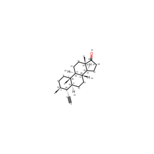 C#C[C@@H]1[C@@H](C)CC[C@@]2(C)[C@H]1CC[C@@H]1[C@@H]2CC[C@]2(C)C(=O)CC[C@@H]12